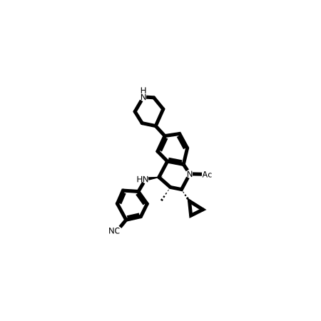 CC(=O)N1c2ccc(C3CCNCC3)cc2[C@H](Nc2ccc(C#N)cc2)[C@@H](C)[C@H]1C1CC1